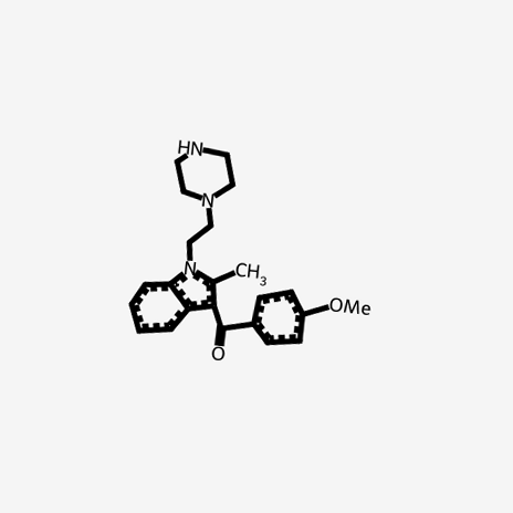 COc1ccc(C(=O)c2c(C)n(CCN3CCNCC3)c3ccccc23)cc1